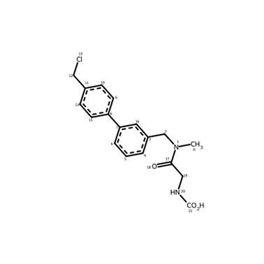 CN(Cc1cccc(-c2ccc(CCl)cc2)c1)C(=O)CNC(=O)O